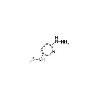 CSNc1ccc(NN)nc1